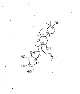 CC(C)=CCCC(C)(O[C@H]1O[C@H](CO)[C@@H](O)[C@H](O)C1O)C1CC[C@]2(C)[C@@H]1C(O)CC1[C@@]3(C)CC[C@H](O)C(C)(C)C3CC[C@]12C